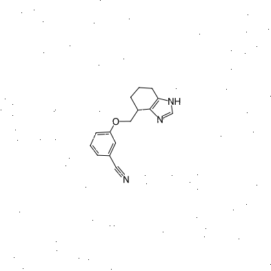 N#Cc1cccc(OCC2CCCc3[nH]cnc32)c1